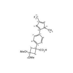 COC1(OC)CC(C(=O)O)(c2ccc(-c3nc(C(F)(F)F)cn3C)cc2)C1